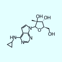 C[C@]1(O)C(n2ccc3c(NC4CC4)ncnc32)O[C@H](CO)[C@H]1O